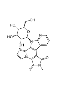 CN1C(=O)c2c(n3ccnc3c3c2c2cccnc2n3[C@@H]2O[C@H](CO)[C@@H](O)[C@H](O)[C@H]2O)C1=O